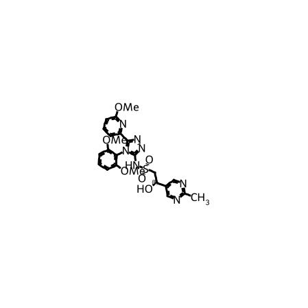 COc1cccc(-c2nnc(NS(=O)(=O)C[C@H](O)c3cnc(C)nc3)n2-c2c(OC)cccc2OC)n1